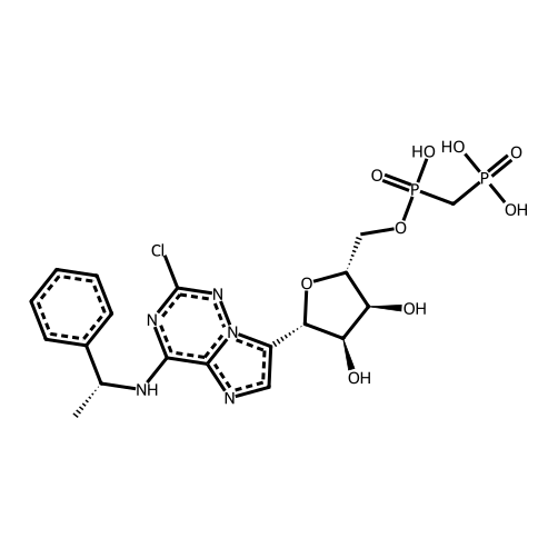 C[C@@H](Nc1nc(Cl)nn2c([C@@H]3O[C@H](COP(=O)(O)CP(=O)(O)O)[C@@H](O)[C@H]3O)cnc12)c1ccccc1